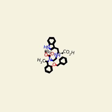 CC(c1ccccc1OCc1ccccc1)N(CCN[C@@H](CC(=O)O)Cc1c[nH]c2ccccc12)C(=O)OC(C)(C)C